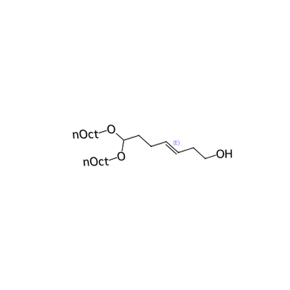 CCCCCCCCOC(CC/C=C/CCO)OCCCCCCCC